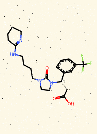 O=C(O)C[C@@H](c1cccc(C(F)(F)F)c1)N1CCN(CCCCNC2=NCCCC2)C1=O